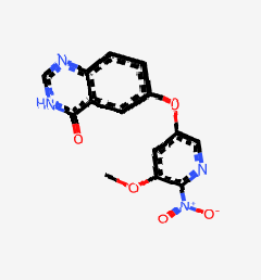 COc1cc(Oc2ccc3nc[nH]c(=O)c3c2)cnc1[N+](=O)[O-]